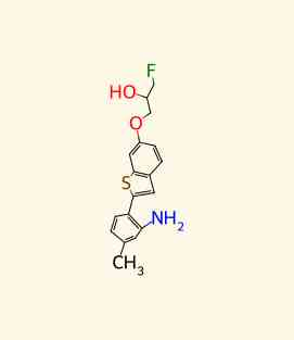 Cc1ccc(-c2cc3ccc(OCC(O)CF)cc3s2)c(N)c1